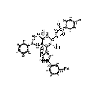 Cc1ccc(S(=O)(=O)OC[C@@H]2O[C@@H]3COC(c4ccccc4)O[C@@H]3[C@H](n3cc(-c4cccc(F)c4)nn3)[C@H]2O)cc1